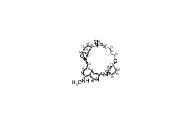 CNc1ncc2c3cc(ncc13)Nc1cccc(n1)OCCCCCN(C)c1ccc3oc-2nc3c1